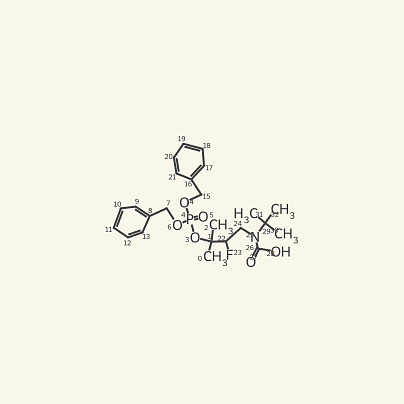 CC(C)(OP(=O)(OCc1ccccc1)OCc1ccccc1)C(F)CN(C(=O)O)C(C)(C)C